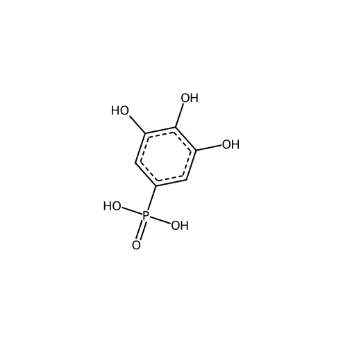 O=P(O)(O)c1cc(O)c(O)c(O)c1